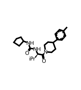 Cc1ccc(C2CCN(C(=O)[C@H](NC(=O)NC3CCCC3)C(C)C)CC2)cc1